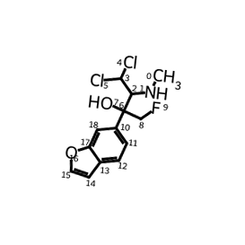 CNC(C(Cl)Cl)C(O)(CF)c1ccc2ccoc2c1